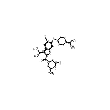 CC1CN(C(=O)c2oc3cc(OC4CCN(C(C)C)CC4)c(Cl)cc3c2C(C)C)CC(C)O1